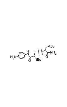 CC(C)(C)CC(C(N)=O)C(C)(C)C(C)(C)CC(C(=O)Nc1ccc(N)cc1)C(C)(C)C